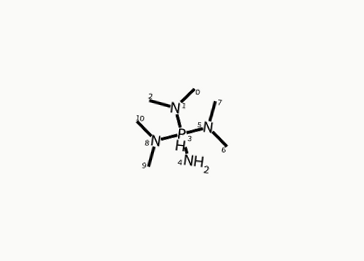 CN(C)[PH](N)(N(C)C)N(C)C